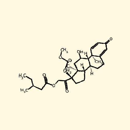 CCC(C)CC(=O)OCC(=O)[C@@]1(OC(=O)OC)CC[C@H]2[C@@H]3CCC4=CC(=O)C=C[C@]4(C)[C@H]3C(O)C[C@@]21C